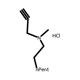 C#CCN(C)CCCCCCC.Cl